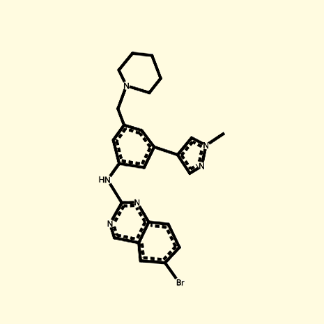 Cn1cc(-c2cc(CN3CCCCC3)cc(Nc3ncc4cc(Br)ccc4n3)c2)cn1